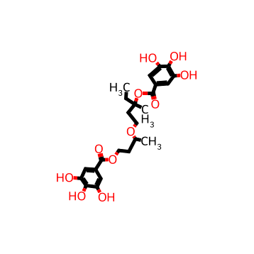 CCC(C)(CCOC(C)CCOC(=O)c1cc(O)c(O)c(O)c1)OC(=O)c1cc(O)c(O)c(O)c1